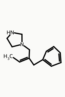 C/C=C(/Cc1ccccc1)CN1CCNC1